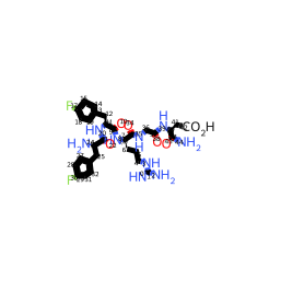 N=C(N)NCCC[C@H](NC(=O)[C@H](Cc1ccc(F)cc1)NC(=O)[C@@H](N)Cc1ccc(F)cc1)C(=O)NCC(=O)N[C@@H](CC(=O)O)C(N)=O